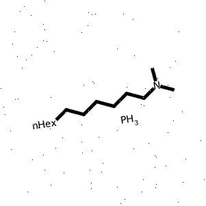 CCCCCCCCCCCCN(C)C.P